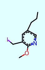 CCCc1cnc(OC)c(CI)c1